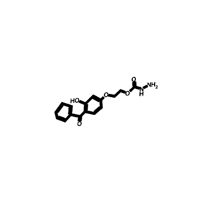 NNC(=O)OCCOc1ccc(C(=O)c2ccccc2)c(O)c1